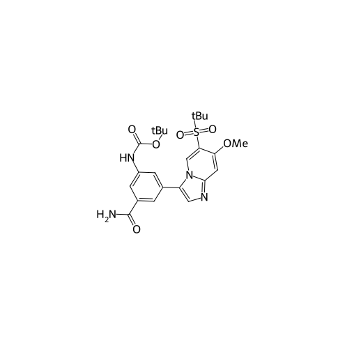 COc1cc2ncc(-c3cc(NC(=O)OC(C)(C)C)cc(C(N)=O)c3)n2cc1S(=O)(=O)C(C)(C)C